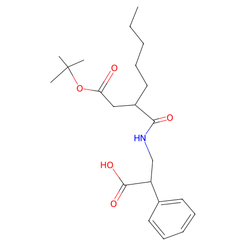 CCCCCC(CC(=O)OC(C)(C)C)C(=O)NCC(C(=O)O)c1ccccc1